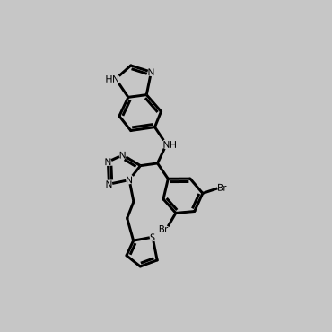 Brc1cc(Br)cc(C(Nc2ccc3[nH]cnc3c2)c2nnnn2CCc2cccs2)c1